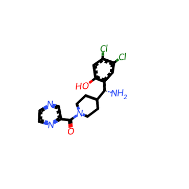 N[C@@H](c1cc(Cl)c(Cl)cc1O)C1CCN(C(=O)c2cnccn2)CC1